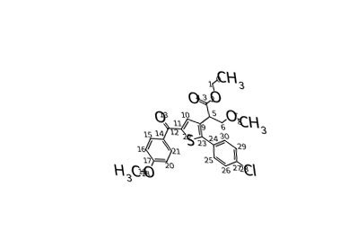 CCOC(=O)C(COC)c1cc(C(=O)c2ccc(OC)cc2)sc1-c1ccc(Cl)cc1